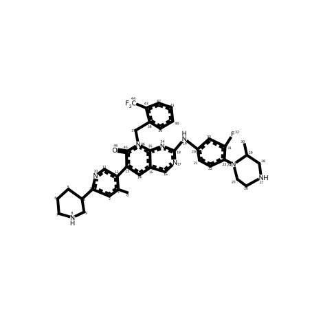 Cc1cc(C2CCCNC2)ncc1-c1cc2cnc(Nc3ccc(N4CCNCC4C)c(F)c3)nc2n(Cc2ccccc2C(F)(F)F)c1=O